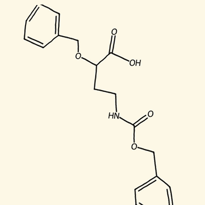 O=C(NCCC(OCc1ccccc1)C(=O)O)OCc1ccccc1